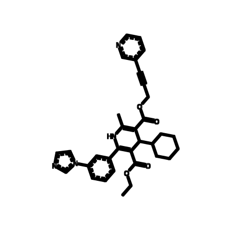 CCOC(=O)C1=C(c2cccc(-n3ccnc3)c2)NC(C)=C(C(=O)OCC#Cc2cccnc2)C1C1CCCCC1